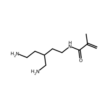 C=C(C)C(=O)NCCC(CN)CCN